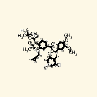 COc1ccc([C@H](Cc2c(Cl)c[n+]([O-])cc2Cl)OC(=O)c2ccc(N(C(=O)OC(C)(C)C)S(C)(=O)=O)c(OCC3CC3)c2)cc1OC